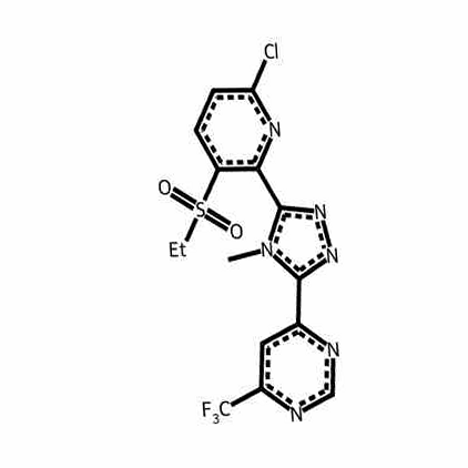 CCS(=O)(=O)c1ccc(Cl)nc1-c1nnc(-c2cc(C(F)(F)F)ncn2)n1C